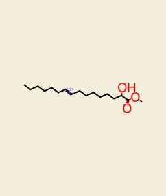 CCCCCC/C=C/CCCCCCC(O)C(=O)OC